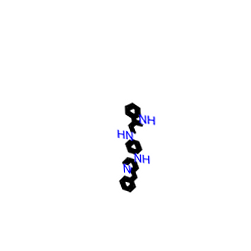 c1ccc(Cc2cc(Nc3ccc(NCCc4c[nH]c5ccccc45)cc3)ccn2)cc1